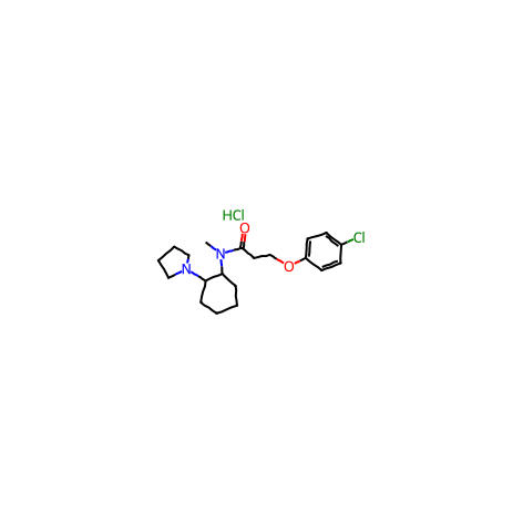 CN(C(=O)CCOc1ccc(Cl)cc1)C1CCCCC1N1CCCC1.Cl